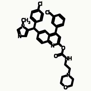 Cn1cncc1C(c1ccc(Cl)cc1)c1ccc2nc(OC(=O)NCCN3CCOCC3)cc(-c3cccc(Cl)c3)c2c1